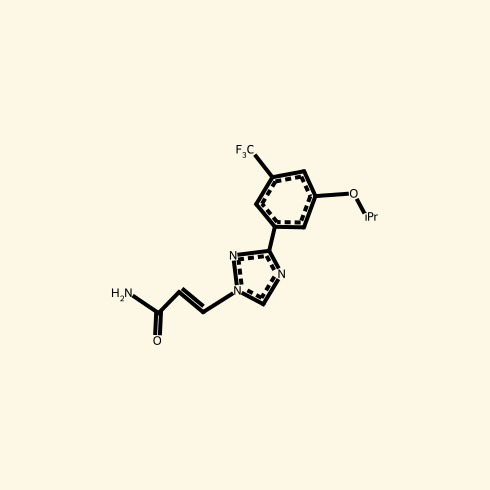 CC(C)Oc1cc(-c2ncn(C=CC(N)=O)n2)cc(C(F)(F)F)c1